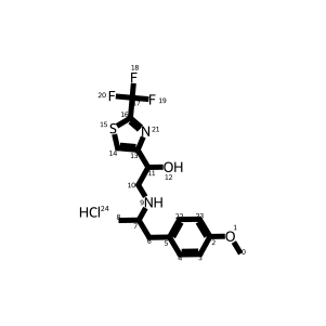 COc1ccc(CC(C)NCC(O)c2csc(C(F)(F)F)n2)cc1.Cl